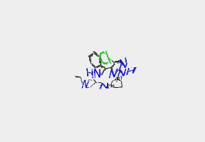 C=CCN1CCC(CN(C)[C@H]2CCC[C@@H](Nc3ncc(Cl)c(-c4c[nH]c5ccccc45)n3)C2)CC1